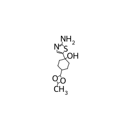 CC1OC(C2CCC(O)(c3cnc(N)s3)CC2)O1